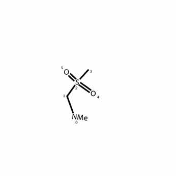 CN[CH]S(C)(=O)=O